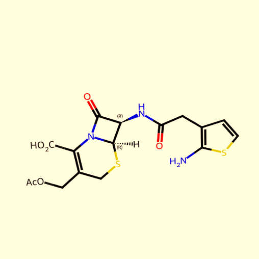 CC(=O)OCC1=C(C(=O)O)N2C(=O)[C@@H](NC(=O)Cc3ccsc3N)[C@H]2SC1